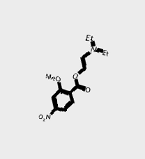 CCN(CC)CCOC(=O)c1ccc([N+](=O)[O-])cc1OC